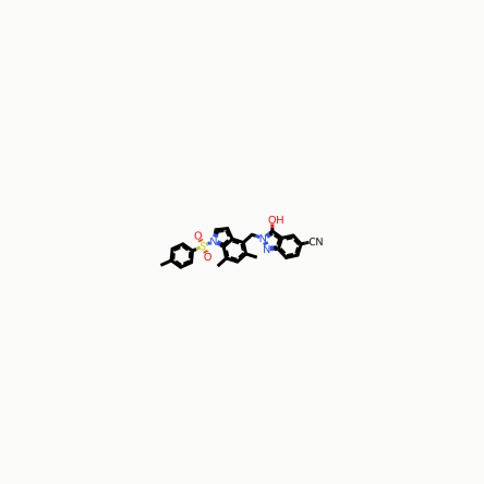 Cc1ccc(S(=O)(=O)n2ccc3c(Cn4nc5ccc(C#N)cc5c4O)c(C)cc(C)c32)cc1